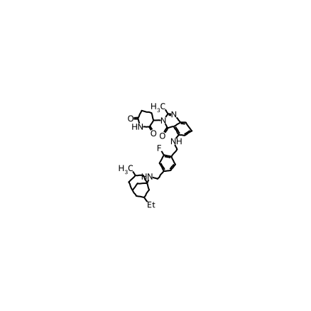 CCC1CC2CC(C)CC(NCc3ccc(CNc4cccc5nc(C)n(C6CCC(=O)NC6=O)c(=O)c45)c(F)c3)(C1)C2